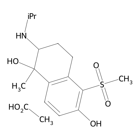 CC(=O)O.CC(C)NC1CCc2c(ccc(O)c2S(C)(=O)=O)C1(C)O